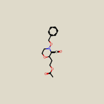 CC(=O)OCCC1OCCN(OCc2ccccc2)C1=C=O